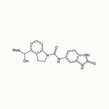 CNC(O)c1cccc2c1CCN2C(=O)Nc1ccc2[nH]c(=O)[nH]c2c1